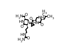 CC(C)C[C@@H]1NC[C@H](C(=O)C2(N3C[C@H](C(N)=O)NC(=O)[C@@H]3CCCNC(N)=O)CC2)NC1=O